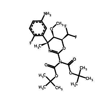 CO[C@H]1[C@@H](C(F)F)OC(N(C(=O)OC(C)(C)C)C(=O)OC(C)(C)C)=N[C@]1(C)c1cc(N)ccc1F